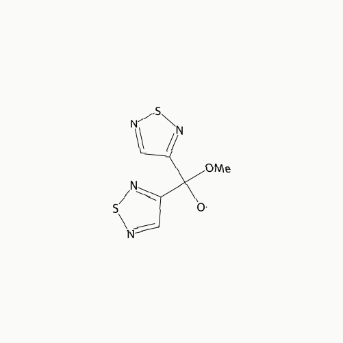 COC([O])(c1cnsn1)c1cnsn1